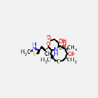 C/C1=C/C2N[C@](C)(C(=O)[C@H](C)[C@@H](O)[C@@H](C)CCC1)[C@@H](O)CC(=O)O[C@@H]2/C(C)=C/C1=CSC(C)N1